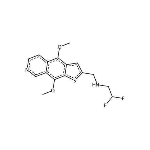 COc1c2ccncc2c(OC)c2sc(CNCC(F)F)cc12